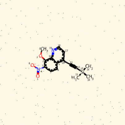 COc1c([N+](=O)[O-])ccc2c(C#C[Si](C)(C)C)ccnc12